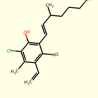 C=Cc1c(C)c(Cl)c(O)c(/C=C/C(C)CCCC(C)C)c1N=O